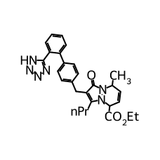 CCCc1c(Cc2ccc(-c3ccccc3-c3nnn[nH]3)cc2)c(=O)n2n1C(C(=O)OCC)C=CC2C